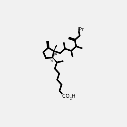 C=C(CC(C)C)C(C)C(C)C(C)C[C@@]1(C)C(=C)CC[C@@H]1C(C)CCCCCC(=O)O